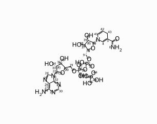 NC(=O)C1=CN([C@@H]2O[C@H](COP(=O)(O)OP(=O)(O)OC[C@H]3O[C@@H](n4cnc5c(N)ncnc54)[C@H](O)[C@@H]3O)[C@@H](O)[C@H]2O)C=CC1.O=P(O)(O)O